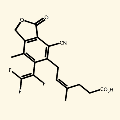 CC(=CCc1c(C#N)c2c(c(C)c1C(F)=C(F)F)COC2=O)CCC(=O)O